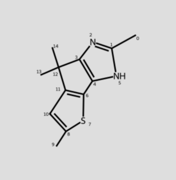 Cc1nc2c([nH]1)-c1sc(C)cc1C2(C)C